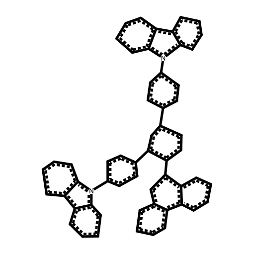 c1ccc2c(c1)cc(-c1ccc(-c3ccc(-n4c5ccccc5c5ccccc54)cc3)cc1-c1ccc(-n3c4ccccc4c4ccccc43)cc1)c1ccccc12